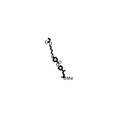 C=CC(=O)OCCCCCCOc1ccc(C(=O)Oc2ccc(/C(C)=C/C=C(\C)OC)cc2)cc1